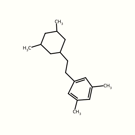 Cc1cc(C)cc(CCC2CC(C)CC(C)C2)c1